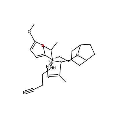 COc1ccc([C@H](CCN2C3CCC2CC(n2c(C)nnc2C(C)C)C3)NCCC#N)s1